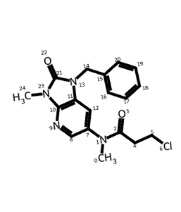 CN(C(=O)CCCl)c1cnc2c(c1)n(Cc1ccccc1)c(=O)n2C